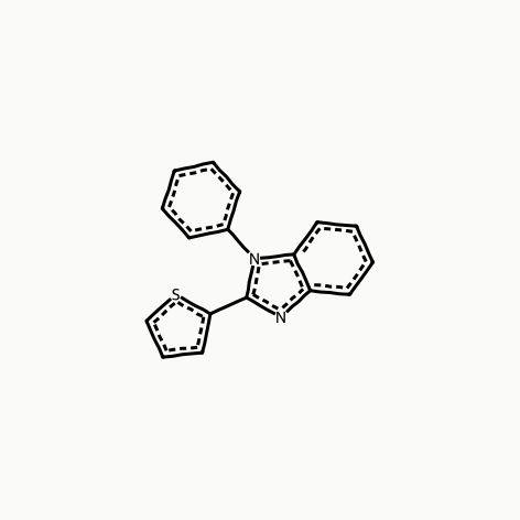 c1ccc(-n2c(-c3cccs3)nc3ccccc32)cc1